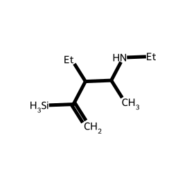 C=C([SiH3])C(CC)C(C)NCC